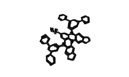 Cc1cc2c3c(c1)N(c1cc(-c4ccccc4)cc(-c4ccccc4)c1)c1cc4c(cc1B3c1cc3c(cc1N2c1cc(-c2ccccc2)cc(-c2ccccc2)c1)CCC3)CCC4